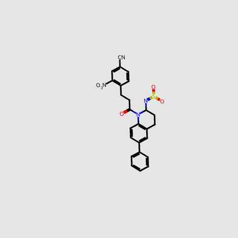 N#Cc1ccc(CCC(=O)N2c3ccc(-c4ccccc4)cc3CCC2N=S(=O)=O)c([N+](=O)[O-])c1